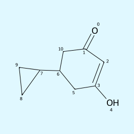 O=C1C=C(O)CC(C2CC2)C1